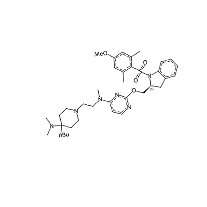 CCCCC1(N(C)C)CCN(CCN(C)c2ccnc(OC[C@@H]3Cc4ccccc4N3S(=O)(=O)c3c(C)cc(OC)cc3C)n2)CC1